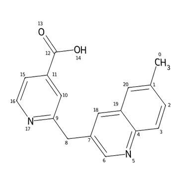 Cc1ccc2ncc(Cc3cc(C(=O)O)ccn3)cc2c1